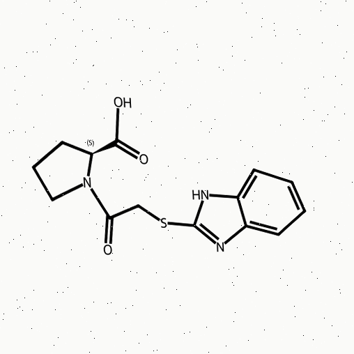 O=C(O)[C@@H]1CCCN1C(=O)CSc1nc2ccccc2[nH]1